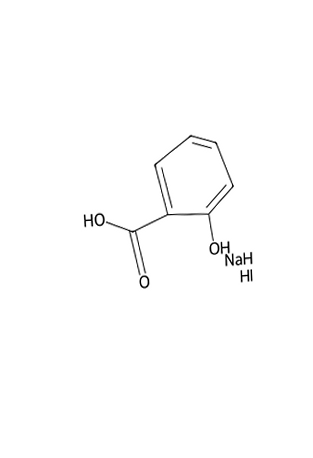 I.O=C(O)c1ccccc1O.[NaH]